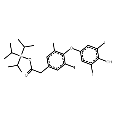 CC(C)[Si](OC(=O)Cc1cc(I)c(Oc2cc(I)c(O)c(I)c2)c(I)c1)(C(C)C)C(C)C